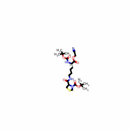 CC(C)(C)OC(=O)N[C@@H](CCCCNC(=O)C1CSCN1C(=O)OC(C)(C)C)C(=O)OCC#N